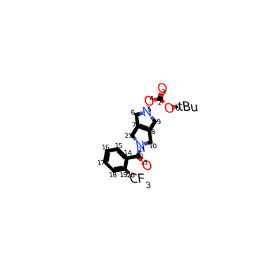 CC(C)(C)OC(=O)ON1CC2=C(C1)CN(C(=O)c1ccccc1C(F)(F)F)C2